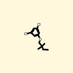 CCC(C)(C)COc1cc(Cl)cc(Cl)c1